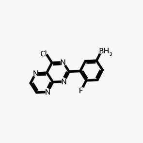 Bc1ccc(F)c(-c2nc(Cl)c3nccnc3n2)c1